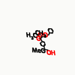 COC(CO)c1ccc(C2OC(C)(C)OC2COCc2ccccc2)cc1